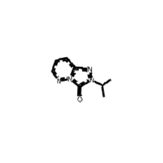 CC(C)n1nc2cccnn2c1=O